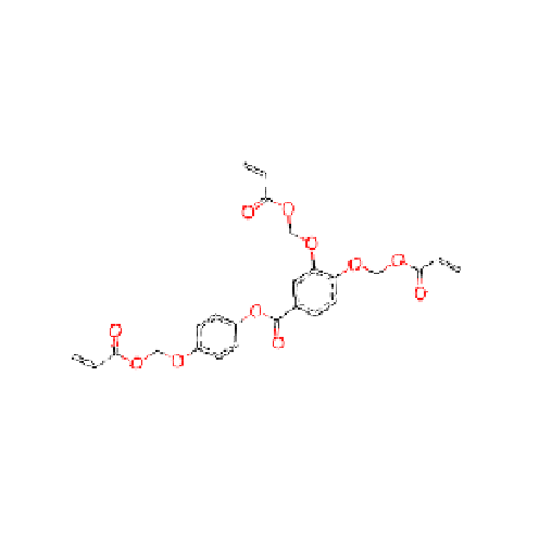 C=CC(=O)OCOc1ccc(OC(=O)c2ccc(OCOC(=O)C=C)c(OCOC(=O)C=C)c2)cc1